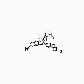 CCOC(=O)/C(=C\c1ccc2ccc(C#N)cc2c1)c1ccc(OC)cc1